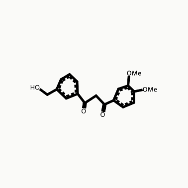 COc1ccc(C(=O)CC(=O)c2cccc(CO)c2)cc1OC